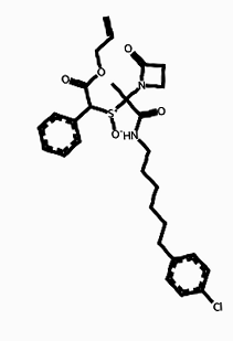 C=CCOC(=O)C(c1ccccc1)[S+]([O-])C(C)(C(=O)NCCCCCCc1ccc(Cl)cc1)N1CCC1=O